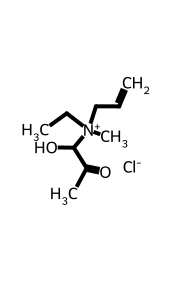 C=CC[N+](C)(CC)C(O)C(C)=O.[Cl-]